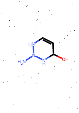 NN1NC=C[C](O)N1